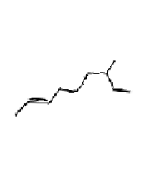 [CH2]CC(C)CCC/C=C/C